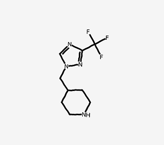 FC(F)(F)c1ncn(CC2CCNCC2)n1